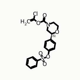 C=C(Cl)OC(=O)N1CCO[C@@H](c2ccc(OS(=O)(=O)c3ccccc3)cc2)C1